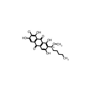 CCCCC[C@H](OC)c1c(O)cc2c(c1O)C(=O)c1c(cc(O)c(Cl)c1O)C2=O